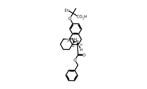 CCC(C)(Oc1ccc2c(c1)[C@@]13CCCC[C@H]1[C@@H](C2)N(C(=O)OCc1ccccc1)CC3)C(=O)O